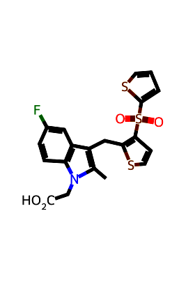 Cc1c(Cc2sccc2S(=O)(=O)c2cccs2)c2cc(F)ccc2n1CC(=O)O